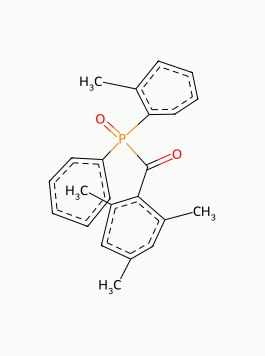 Cc1cc(C)c(C(=O)P(=O)(c2ccccc2)c2ccccc2C)c(C)c1